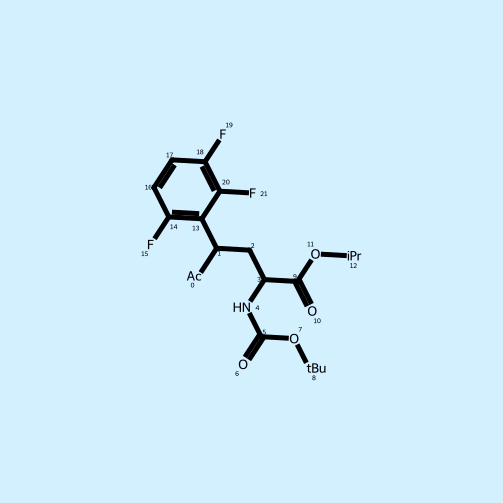 CC(=O)C(CC(NC(=O)OC(C)(C)C)C(=O)OC(C)C)c1c(F)ccc(F)c1F